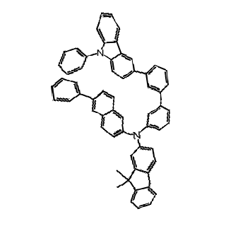 CC1(C)c2ccccc2-c2ccc(N(c3cccc(-c4cccc(-c5ccc6c(c5)c5ccccc5n6-c5ccccc5)c4)c3)c3ccc4cc(-c5ccccc5)ccc4c3)cc21